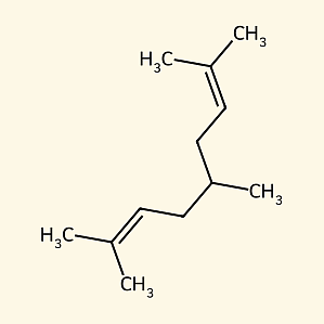 CC(C)=CCC(C)CC=C(C)C